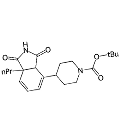 CCCC12C=CC=C(C3CCN(C(=O)OC(C)(C)C)CC3)C1C(=O)NC2=O